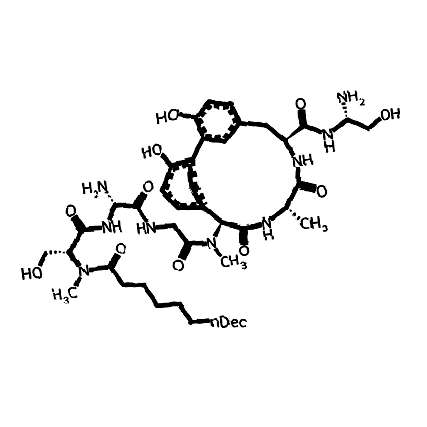 CCCCCCCCCCCCCCCC(=O)N(C)[C@H](CO)C(=O)N[C@H](N)C(=O)NCC(=O)N(C)[C@@H]1C(=O)N[C@@H](C)C(=O)N[C@H](C(=O)N[C@H](N)CO)Cc2ccc(O)c(c2)-c2cc1ccc2O